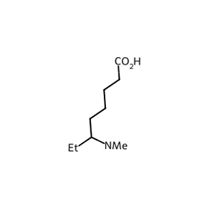 CCC(CCCCC(=O)O)NC